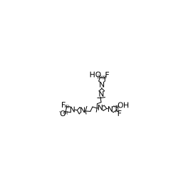 CO[C@H]1CN(C2CN(C(C)(C)CCC(C)(CCC(C)(C)N3CC(N4C[C@H](O)[C@@H](F)C4)C3)N3CC(N4C[C@@H](O)[C@@H](F)C4)C3)C2)C[C@@H]1F